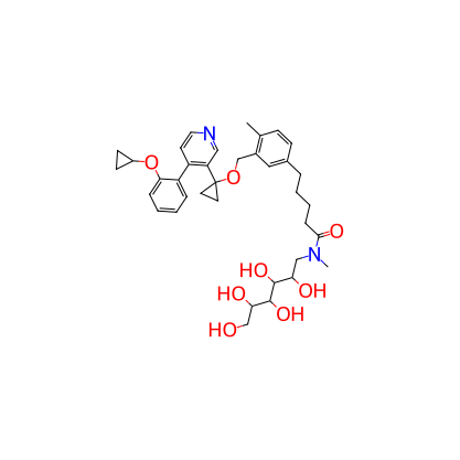 Cc1ccc(CCCCC(=O)N(C)CC(O)C(O)C(O)C(O)CO)cc1COC1(c2cnccc2-c2ccccc2OC2CC2)CC1